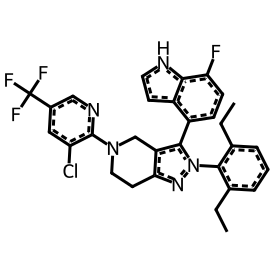 CCc1cccc(CC)c1-n1nc2c(c1-c1ccc(F)c3[nH]ccc13)CN(c1ncc(C(F)(F)F)cc1Cl)CC2